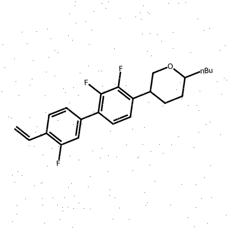 C=Cc1ccc(-c2ccc(C3CCC(CCCC)OC3)c(F)c2F)cc1F